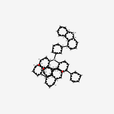 c1ccc(-c2ccc(N(c3cccc(-c4cccc5sc6ccccc6c45)c3)c3ccccc3-c3cccc4cccc(-c5ccccc5)c34)c(-c3ccccc3)c2)cc1